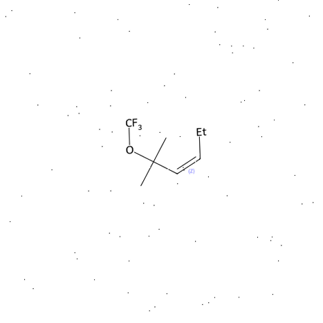 CC/C=C\C(C)(C)OC(F)(F)F